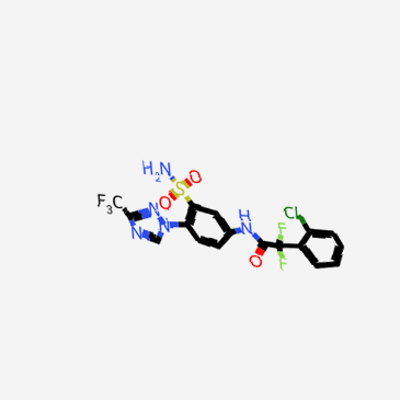 NS(=O)(=O)c1cc(NC(=O)C(F)(F)c2ccccc2Cl)ccc1-n1cnc(C(F)(F)F)n1